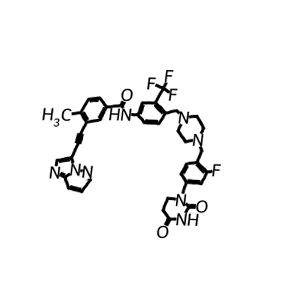 Cc1ccc(C(=O)Nc2ccc(CN3CCN(Cc4ccc(N5CCC(=O)NC5=O)cc4F)CC3)c(C(F)(F)F)c2)cc1C#Cc1cnc2cccnn12